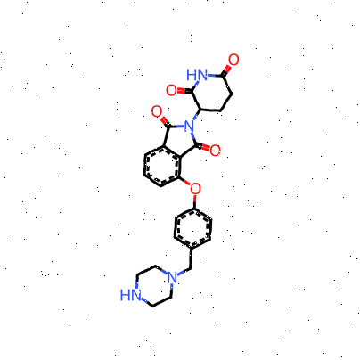 O=C1CCC(N2C(=O)c3cccc(Oc4ccc(CN5CCNCC5)cc4)c3C2=O)C(=O)N1